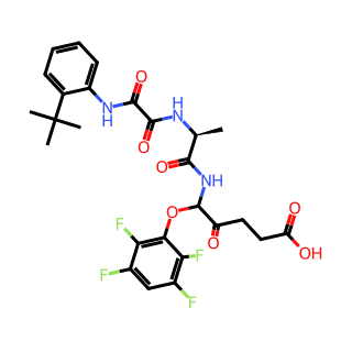 C[C@H](NC(=O)C(=O)Nc1ccccc1C(C)(C)C)C(=O)NC(Oc1c(F)c(F)cc(F)c1F)C(=O)CCC(=O)O